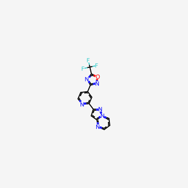 FC(F)(F)c1nc(-c2ccnc(-c3cc4ncccn4n3)c2)no1